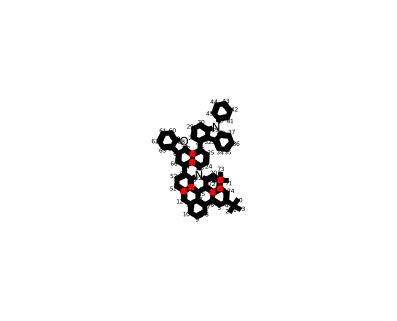 CC(C)(C)c1cc(-c2cccc3cccc(-c4ccccc4N(c4ccc(-c5cccc6c5c5ccccc5n6-c5ccccc5)cc4)c4ccccc4-c4ccc5oc6ccccc6c5c4)c23)cc(C(C)(C)C)c1